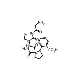 CC(C)C[C@H](NC(=O)[C@]1(C(N)=O)CCCN1c1ccccc1C(=O)O)C(=O)NC(=O)CN